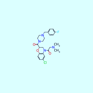 CN(C)CC(=O)N1CC(C(=O)N2CCN(Cc3ccc(F)cc3)CC2)Oc2ccc(Cl)cc21